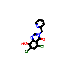 O=c1c2c(Cl)cc(Cl)c(O)c2ncn1Cc1ccccn1